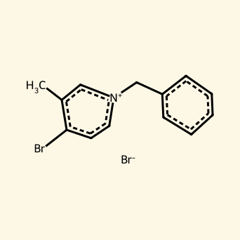 Cc1c[n+](Cc2ccccc2)ccc1Br.[Br-]